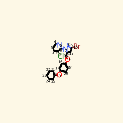 Clc1cccnc1-n1nc(Br)cc1COc1ccc(Oc2ccccc2)cc1